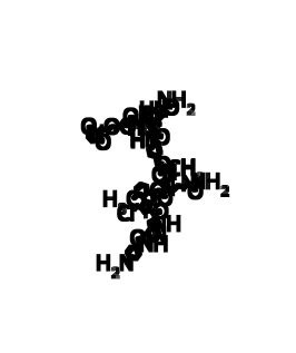 Cc1cccc2c(OC(=O)N(CCCNC(N)=O)CCN(C)C(=O)OCc3ccc(NC(=O)[C@H](CCCNC(N)=O)NC(=O)[C@@H](NC(=O)OCCOCCN4C(=O)C=CC4=O)C(C)C)cc3)cc3c(c12)C(CCl)CN3C(=O)c1cc2cc(NC(=O)c3ccc(N)cc3)cnc2[nH]1